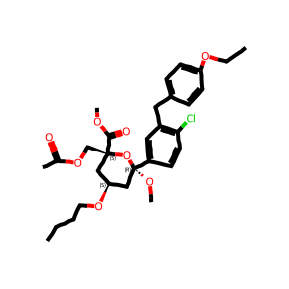 CCCCO[C@H]1C[C@](COC(C)=O)(C(=O)OC)O[C@@](OC)(c2ccc(Cl)c(Cc3ccc(OCC)cc3)c2)C1